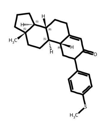 CSc1ccc(C2C[C@H]3C(=CC2=O)CC[C@@H]2[C@@H]3CC[C@]3(C)CCC[C@@H]23)cc1